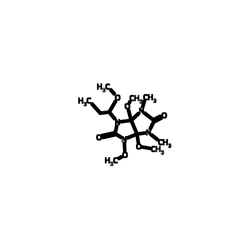 CCC(OC)N1C(=O)N(OC)C2(OC)N(C)C(=O)N(C)C12OC